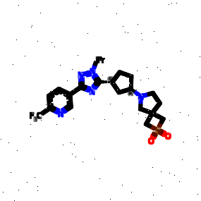 CC(C)n1nc(-c2ccc(C(F)(F)F)nc2)nc1[C@@H]1CC[C@@H](N2CCC3(C2)CS(=O)(=O)C3)C1